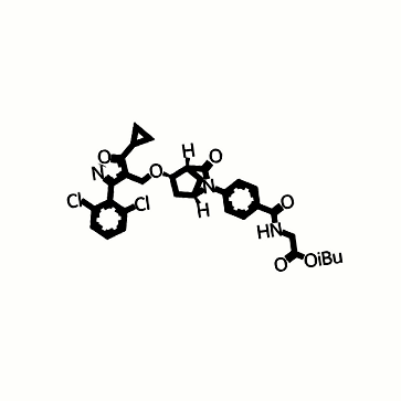 CC(C)COC(=O)CNC(=O)c1ccc(N2C(=O)[C@@H]3C[C@H]2C[C@H]3OCc2c(-c3c(Cl)cccc3Cl)noc2C2CC2)cc1